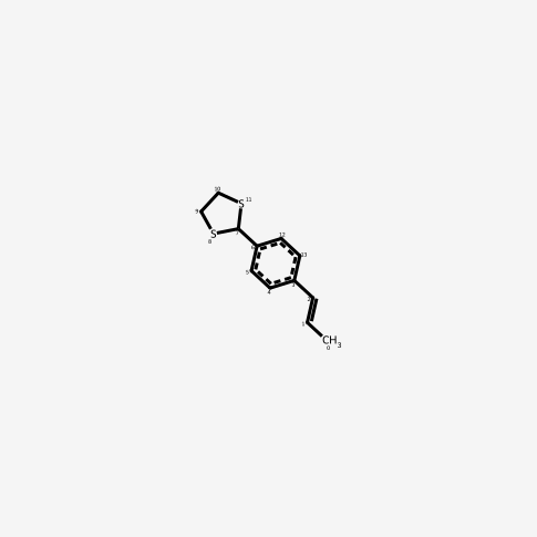 CC=Cc1ccc(C2SCCS2)cc1